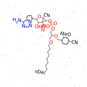 CCCCCCCCCCCCCCCCCCOCC(COP(=O)(O)OC1C2(C#N)OC(c3ccc4c(N)ncnn34)C(O)C12O)OCc1ccc(C#N)cc1OC